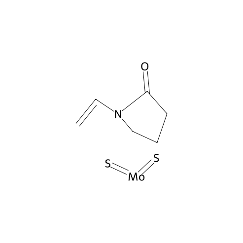 C=CN1CCCC1=O.[S]=[Mo]=[S]